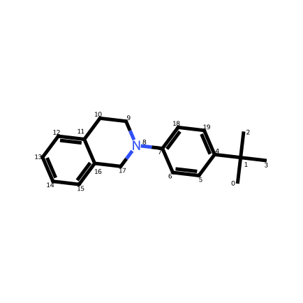 CC(C)(C)c1ccc(N2CCc3ccccc3C2)cc1